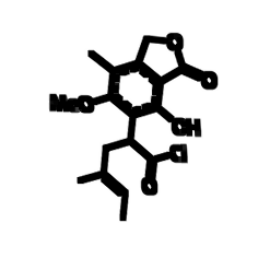 CC=C(C)CC(C(=O)Cl)c1c(O)c2c(c(C)c1OC)COC2=O